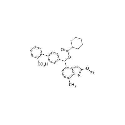 CCOc1cn2c(C(OC(=O)C3CCCCC3)c3ccc(-c4ccccc4C(=O)O)cc3)ccc(C)c2n1